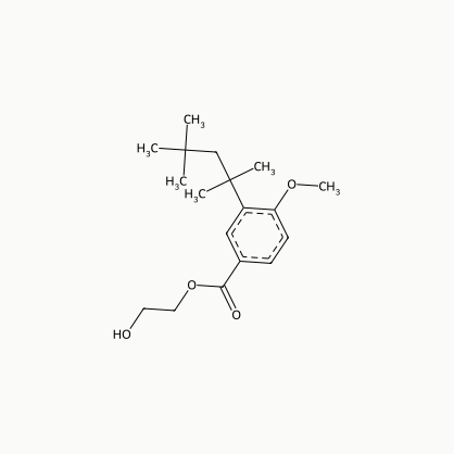 COc1ccc(C(=O)OCCO)cc1C(C)(C)CC(C)(C)C